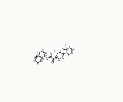 C[C@@H]1CN(C2=CC=NCC2(C)F)CCN1C(=O)NCc1cccc2ncccc12